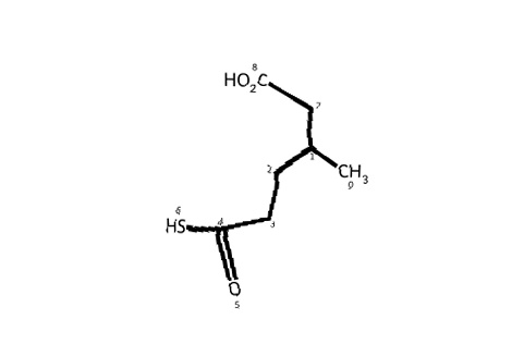 CC(CCC(=O)S)CC(=O)O